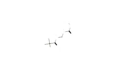 CCCCSC(=O)OCOC(=O)C(C)(C)C(=O)O